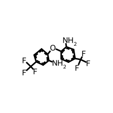 Nc1cc(C(F)(F)F)ccc1Oc1ccc(C(F)(F)F)cc1N